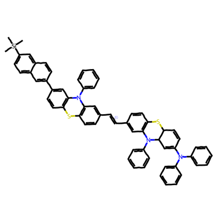 C[Si](C)(C)c1ccc2cc(-c3ccc4c(c3)N(c3ccccc3)c3cc(/C=C/c5ccc6c(c5)N(c5ccccc5)C5C=C(N(c7ccccc7)c7ccccc7)C=CC5S6)ccc3S4)ccc2c1